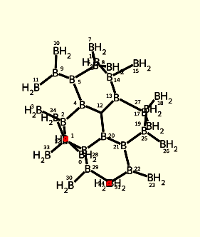 BBB(B)B(B(B(B)B)B(B)B)C(B(B(B)B)B(B)B)B(B(B(B)B)B(B)B)B(B(B)B)B(B)B